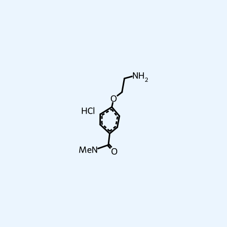 CNC(=O)c1ccc(OCCN)cc1.Cl